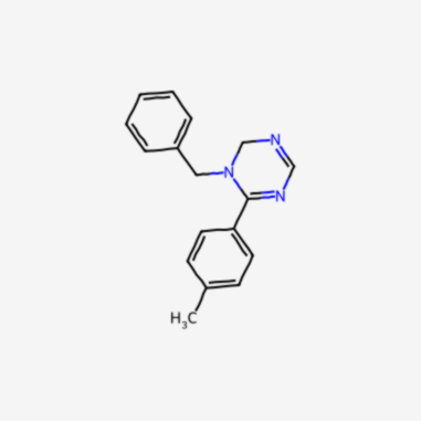 Cc1ccc(C2=NC=NCN2Cc2ccccc2)cc1